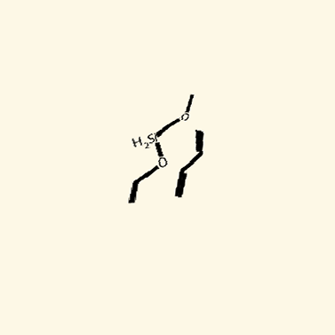 C=CC=C.CCO[SiH2]OC